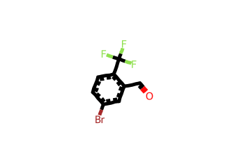 O=Cc1cc(Br)ccc1C(F)(F)F